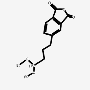 CCO[SiH](CCCc1ccc2c(c1)C(=O)OC2=O)OCC